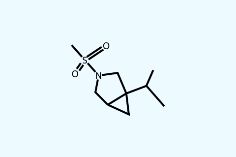 CC(C)C12CC1CN(S(C)(=O)=O)C2